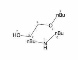 CCCCNCCCC.CCCCOCCO